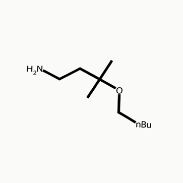 CCCCCOC(C)(C)CCN